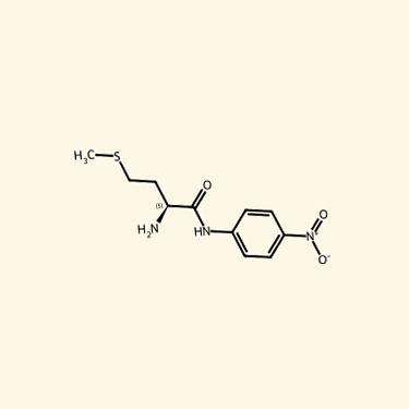 CSCC[C@H](N)C(=O)Nc1ccc([N+](=O)[O-])cc1